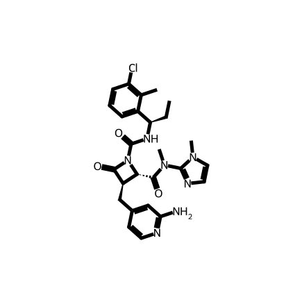 CC[C@@H](NC(=O)N1C(=O)[C@H](Cc2ccnc(N)c2)[C@H]1C(=O)N(C)c1nccn1C)c1cccc(Cl)c1C